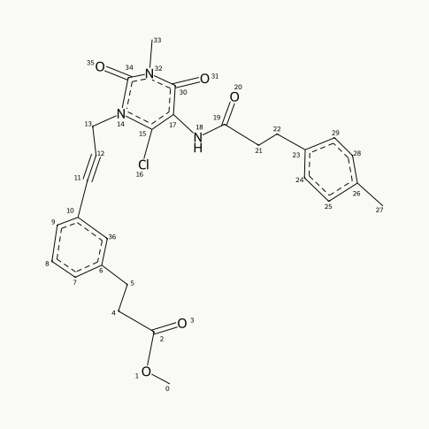 COC(=O)CCc1cccc(C#CCn2c(Cl)c(NC(=O)CCc3ccc(C)cc3)c(=O)n(C)c2=O)c1